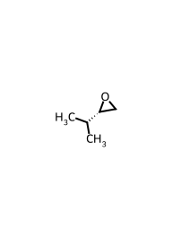 CC(C)[C@H]1CO1